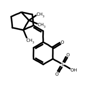 CC12CCC(CC1=CC1=CC=CC(S(=O)(=O)O)C1=O)C2(C)C